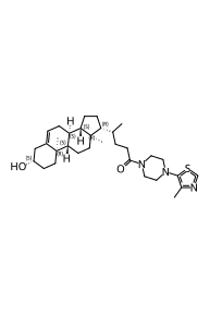 Cc1ncsc1N1CCN(C(=O)CCC(C)[C@H]2CC[C@H]3[C@@H]4CC=C5C[C@@H](O)CC[C@]5(C)[C@H]4CC[C@]23C)CC1